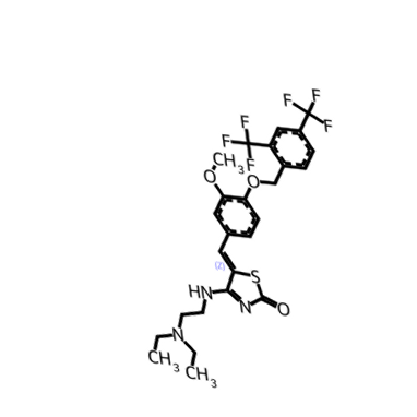 CCN(CC)CCNC1=NC(=O)S/C1=C\c1ccc(OCc2ccc(C(F)(F)F)cc2C(F)(F)F)c(OC)c1